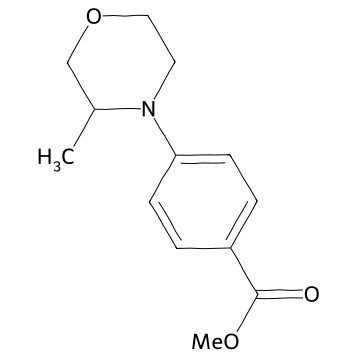 COC(=O)c1ccc(N2CCOCC2C)cc1